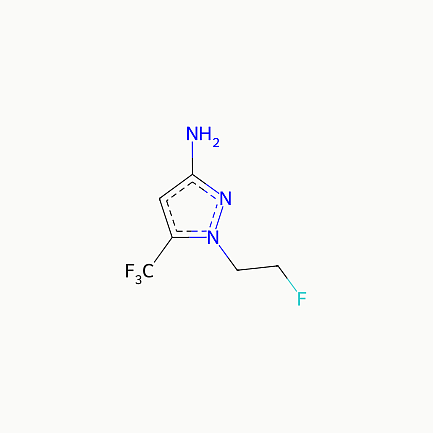 Nc1cc(C(F)(F)F)n(CCF)n1